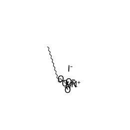 CCCCCCCCCCCCCCCCCC1CCC(COC(=O)N(Cc2cccc[n+]2CC)C(C)=O)O1.[I-]